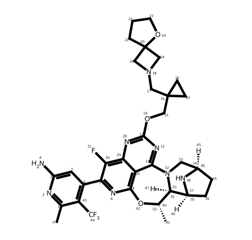 Cc1nc(N)cc(-c2nc3c4c(nc(OCC5(CN6CC7(CCCO7)C6)CC5)nc4c2F)N2C[C@H]4CC[C@H](N4)[C@H]2[C@H](C)O3)c1C(F)(F)F